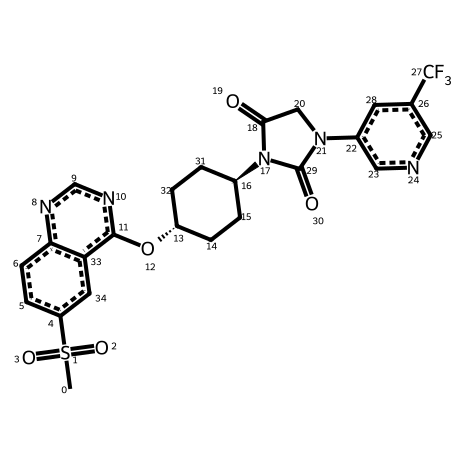 CS(=O)(=O)c1ccc2ncnc(O[C@H]3CC[C@H](N4C(=O)CN(c5cncc(C(F)(F)F)c5)C4=O)CC3)c2c1